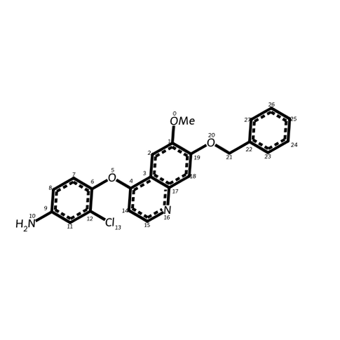 COc1cc2c(Oc3ccc(N)cc3Cl)ccnc2cc1OCc1ccccc1